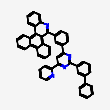 c1ccc(-c2cccc(-c3nc(-c4cccc(-c5nc6ccccc6c6c7ccccc7c7ccccc7c56)c4)cc(-c4ccccn4)n3)c2)cc1